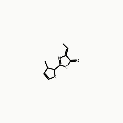 C/C=C1\N=C(C2SC=CC2C)OC1=O